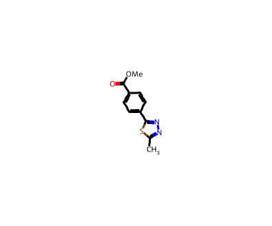 COC(=O)c1ccc(-c2nnc(C)s2)cc1